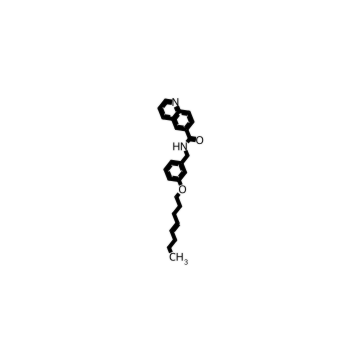 CCC/C=C/CCCOc1cccc(CNC(=O)c2ccc3ncccc3c2)c1